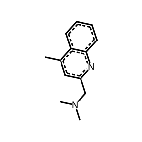 Cc1cc(CN(C)C)nc2ccccc12